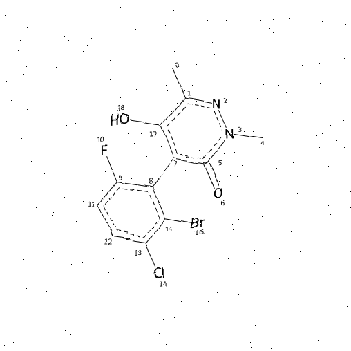 Cc1nn(C)c(=O)c(-c2c(F)ccc(Cl)c2Br)c1O